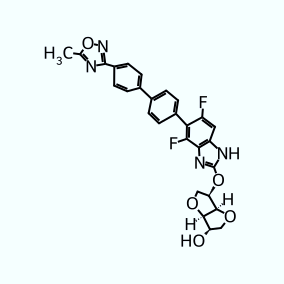 Cc1nc(-c2ccc(-c3ccc(-c4c(F)cc5[nH]c(O[C@@H]6CO[C@H]7[C@@H]6OC[C@H]7O)nc5c4F)cc3)cc2)no1